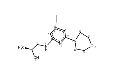 C[C@H](O)CNc1cc(I)cc(N2CCOCC2)n1